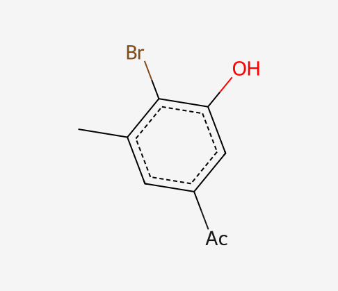 CC(=O)c1cc(C)c(Br)c(O)c1